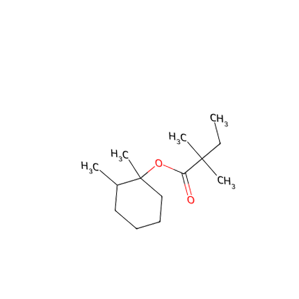 CCC(C)(C)C(=O)OC1(C)CCCCC1C